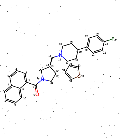 O=C(c1cccc2ccccc12)N1C[C@@H](CN2CCC(c3ccc(F)cc3)CC2)[C@H](c2ccsc2)C1